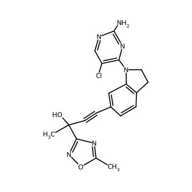 Cc1nc(C(C)(O)C#Cc2ccc3c(c2)N(c2nc(N)ncc2Cl)CC3)no1